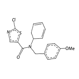 COc1ccc(CN(C(=O)c2cnc(Cl)s2)C2C=CC=CC2)cc1